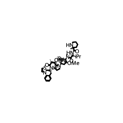 CC[C@H](C)C([C@@H](CC(=O)N1CCC[C@H]1[C@H](OC)[C@@H](C)C(=O)N[C@@H](Cc1ccccc1)c1nccs1)OC)N(C)C(=O)[C@@H](NC(=O)[C@@]1(C)CCCCN1)C(C)C